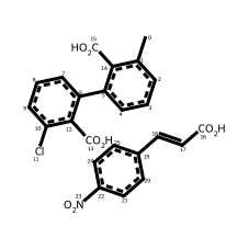 Cc1cccc(-c2cccc(Cl)c2C(=O)O)c1C(=O)O.O=C(O)/C=C/c1ccc([N+](=O)[O-])cc1